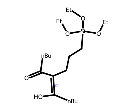 CCCCC(=O)/C(CCC[Si](OCC)(OCC)OCC)=C(\O)CCCC